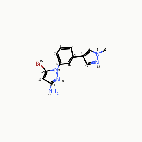 Cn1cc(-c2cccc(-n3nc(N)cc3Br)c2)cn1